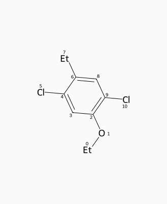 CCOc1cc(Cl)c(CC)cc1Cl